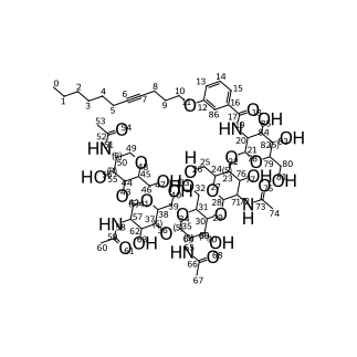 CCCCCCC#CCCCOc1cccc(C(=O)NC2C(O[C@@H]3C(CO)OC(OC4C(CO)O[C@@H](O[C@@H]5C(CO)O[C@@H](OC6C(CO)OC[C@@H](NC(C)=O)[C@H]6O)C(NC(C)=O)C5O)[C@@H](NC(C)=O)[C@H]4O)C(NC(C)=O)C3O)OC(CO)[C@@H](O)C2O)c1